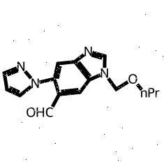 CCCOCn1cnc2cc(-n3cccn3)c(C=O)cc21